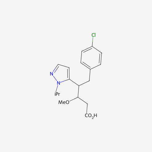 COC(CC(=O)O)C(Cc1ccc(Cl)cc1)c1ccnn1C(C)C